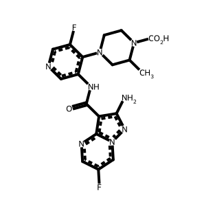 CC1CN(c2c(F)cncc2NC(=O)c2c(N)nn3cc(F)cnc23)CCN1C(=O)O